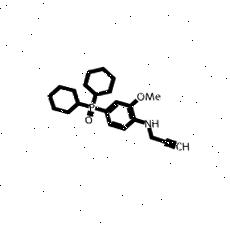 C#CCNc1ccc(P(=O)(C2CCCCC2)C2CCCCC2)cc1OC